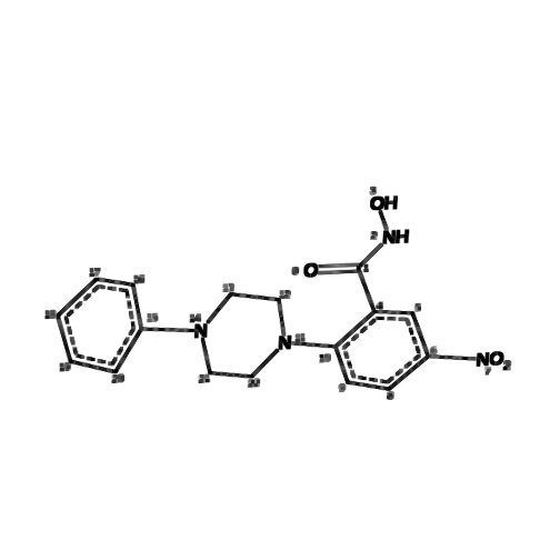 O=C(NO)c1cc([N+](=O)[O-])ccc1N1CCN(c2ccccc2)CC1